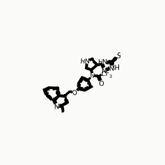 Cc1cc(COc2ccc(N(C(=O)C(F)(F)F)C3CNCC3c3n[nH]c(=S)[nH]3)cc2)c2ccccc2n1